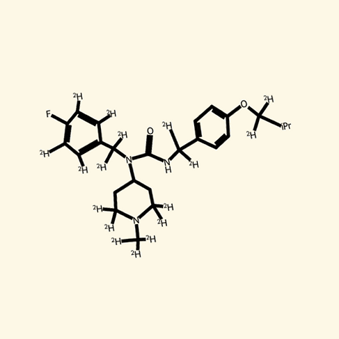 [2H]c1c([2H])c(C([2H])([2H])N(C(=O)NC([2H])([2H])c2ccc(OC([2H])([2H])C(C)C)cc2)C2CC([2H])([2H])N(C([2H])([2H])[2H])C([2H])([2H])C2)c([2H])c([2H])c1F